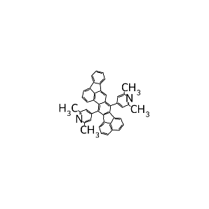 Cc1cc(-c2c3cc4c5ccccc5c5cccc(c3c(-c3cc(C)nc(C)c3)c3c6cccc7cccc(c23)c76)c54)cc(C)n1